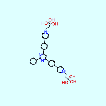 O[Si](O)(O)CC[n+]1ccc(-c2ccc(-c3cc(-c4ccc(-c5cc[n+](CC[Si](O)(O)O)cc5)cc4)nc(-c4ccccc4)n3)cc2)cc1